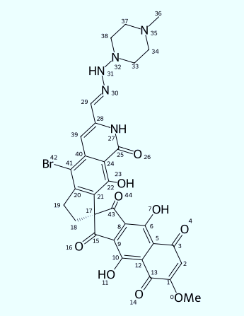 COC1=CC(=O)c2c(O)c3c(c(O)c2C1=O)C(=O)[C@]1(CCc2c1c(O)c1c(=O)[nH]c(C=NNN4CCN(C)CC4)cc1c2Br)C3=O